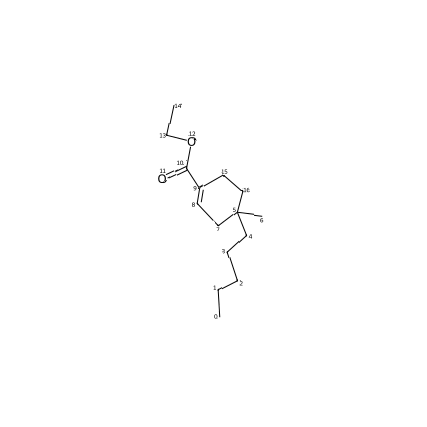 CCCCCC1(C)CC=C(C(=O)OCC)CC1